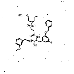 CCCN(CCC)S(=O)(=O)CCC(=O)N[C@@H](Cc1cc(F)cc(OCc2ccccc2)c1)[C@@H](O)CNCc1cccc(OC)c1.Cl